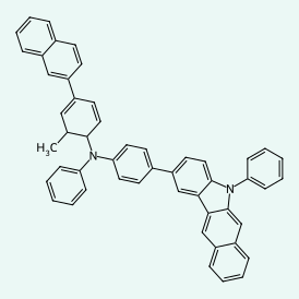 CC1C=C(c2ccc3ccccc3c2)C=CC1N(c1ccccc1)c1ccc(-c2ccc3c(c2)c2cc4ccccc4cc2n3-c2ccccc2)cc1